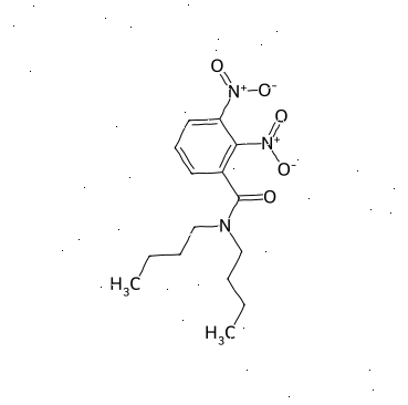 CCCCN(CCCC)C(=O)c1cccc([N+](=O)[O-])c1[N+](=O)[O-]